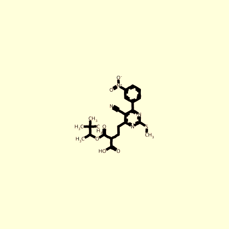 CSc1nc(CCC(C(=O)O)C(=O)OC(C)C(C)(C)C)c(C#N)c(-c2cccc([N+](=O)[O-])c2)n1